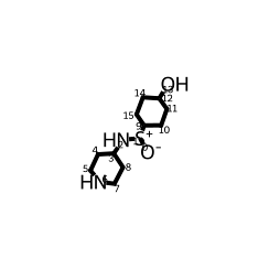 [O-][S+](NC1CCNCC1)C1CCC(O)CC1